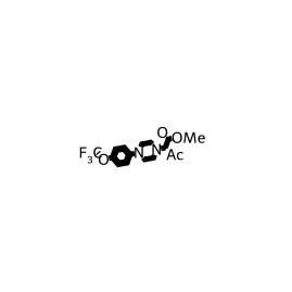 COC(=O)C(C(C)=O)N1CCN(c2ccc(OC(F)(F)F)cc2)CC1